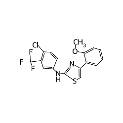 COc1ccccc1-c1csc(Nc2ccc(Cl)c(C(F)(F)F)c2)n1